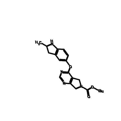 CC1Cc2cc(Oc3ncnc4c3CN(C(=O)OC(C)(C)C)C4)ccc2N1